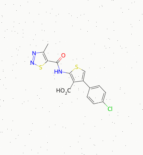 Cc1nnsc1C(=O)Nc1scc(-c2ccc(Cl)cc2)c1C(=O)O